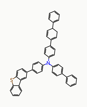 C1=CC(c2ccccc2)CC=C1c1ccc(N(c2ccc(-c3ccccc3)cc2)c2ccc(-c3ccc4sc5ccccc5c4c3)cc2)cc1